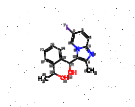 Cc1nc2ccc(I)cn2c1C(O)c1ccccc1C(C)O